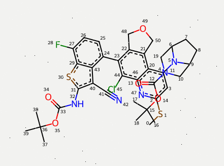 CSc1cc(N2C3CCC2CN(C(=O)OC(C)(C)C)C3)c2c3c(c(-c4ccc(F)c5sc(NC(=O)OC(C)(C)C)c(C#N)c45)c(Cl)c2n1)COC3